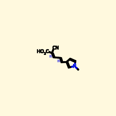 Cn1ccc(/C=C/C=C(\C#N)C(=O)O)c1